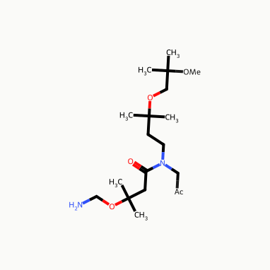 COC(C)(C)COC(C)(C)CCN(CC(C)=O)C(=O)CC(C)(C)OCN